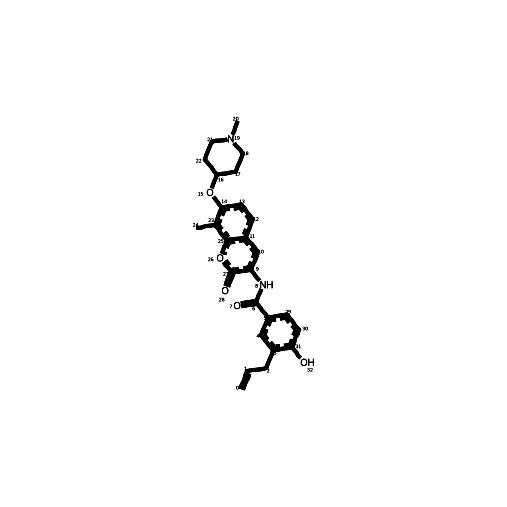 C=CCc1cc(C(=O)Nc2cc3ccc(OC4CCN(C)CC4)c(C)c3oc2=O)ccc1O